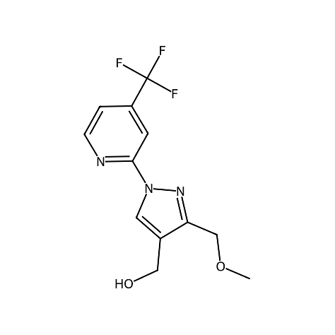 COCc1nn(-c2cc(C(F)(F)F)ccn2)cc1CO